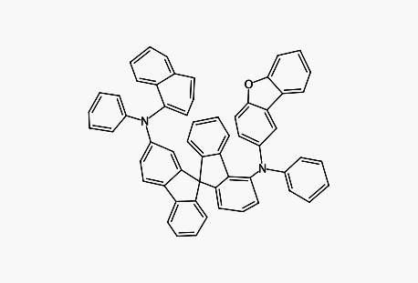 c1ccc(N(c2ccc3oc4ccccc4c3c2)c2cccc3c2-c2ccccc2C32c3ccccc3-c3ccc(N(c4ccccc4)c4cccc5ccccc45)cc32)cc1